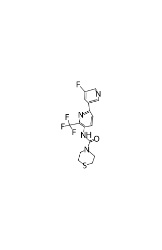 O=C(Nc1ccc(-c2cncc(F)c2)nc1C(F)(F)F)N1CCSCC1